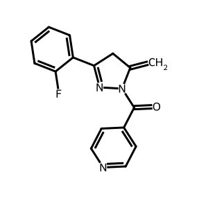 C=C1CC(c2ccccc2F)=NN1C(=O)c1ccncc1